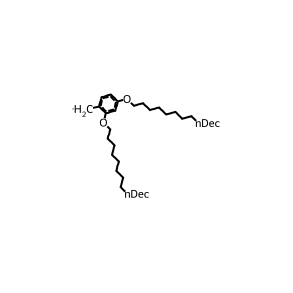 [CH2]c1ccc(OCCCCCCCCCCCCCCCCCC)cc1OCCCCCCCCCCCCCCCCCC